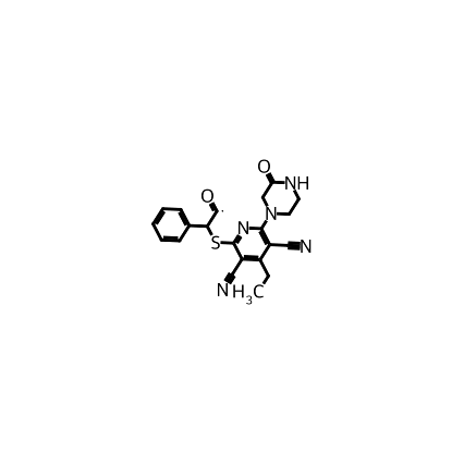 CCc1c(C#N)c(SC([C]=O)c2ccccc2)nc(N2CCNC(=O)C2)c1C#N